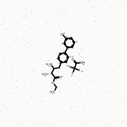 CCOC(=O)[C@H](C)C(N)Cc1ccc(-c2cccc(Cl)c2)cc1.O=C(O)C(F)(F)F